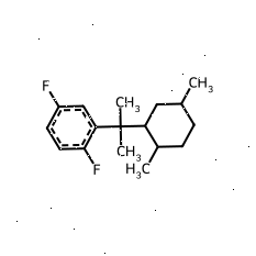 CC1CCC(C)C(C(C)(C)c2cc(F)ccc2F)C1